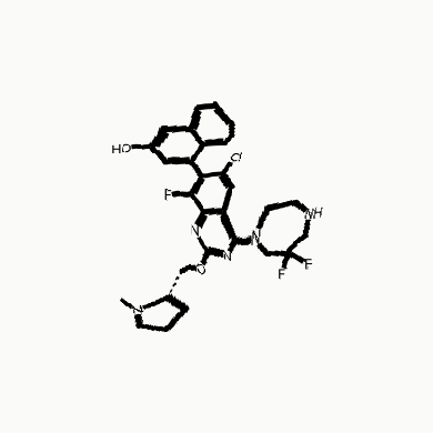 CN1CCC[C@H]1COc1nc(N2CCNCC(F)(F)C2)c2cc(Cl)c(-c3cc(O)cc4ccccc34)c(F)c2n1